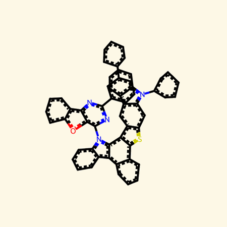 c1ccc(-c2cccc(-c3nc(-n4c5ccccc5c5c6ccccc6c6sc7cc8c(cc7c6c54)c4ccccc4n8-c4ccccc4)c4oc5ccccc5c4n3)c2)cc1